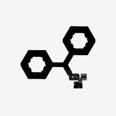 O=C(O)C(c1ccccc1)c1ccccc1.[Zn]